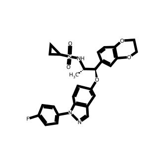 C[C@H](NS(=O)(=O)C1CC1)[C@H](Oc1ccc2c(cnn2-c2ccc(F)cc2)c1)c1ccc2c(c1)OCCO2